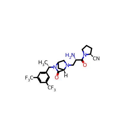 C[C@@H](c1cc(C(F)(F)F)cc(C(F)(F)F)c1)N1C(=O)[C@@H]2CC1CN2C[C@H](N)C(=O)N1CCC[C@H]1C#N